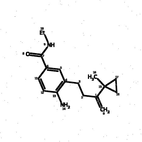 C=C(CCc1cc(C(=O)NCC)ccc1N)C1(C)CC1